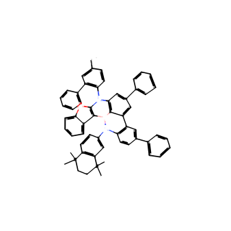 CC(C)(C)c1ccc(N2c3cc(-c4ccccc4)cc4c3B(c3c2oc2ccccc32)N(c2ccc3c(c2)C(C)(C)CCC3(C)C)c2ccc(-c3ccccc3)cc2-4)c(-c2ccccc2)c1